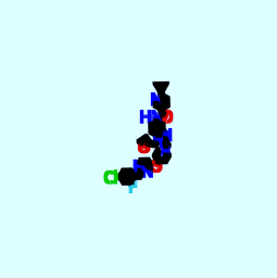 O=C(Nc1ccc2c(c1)nc(CN1CCC(Oc3ccnc(Cc4ccc(Cl)cc4F)n3)CC1)n2CC1CCO1)c1ccc(C2CC2)nc1